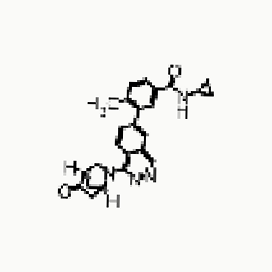 Cc1ccc(C(=O)NC2CC2)cc1-c1ccc2c(N3C[C@@H]4C[C@H]3CC4=O)nncc2c1